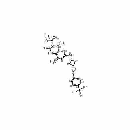 C=C(OC)[C@H]1C(=O)Nc2c(C)nc(N[C@H]3C[C@@H](COc4cnc(C(F)(F)F)cn4)C3)nc2N1C